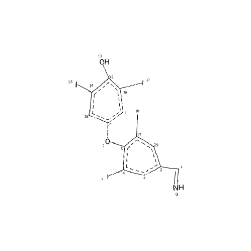 N=Cc1cc(I)c(Oc2cc(I)c(O)c(I)c2)c(I)c1